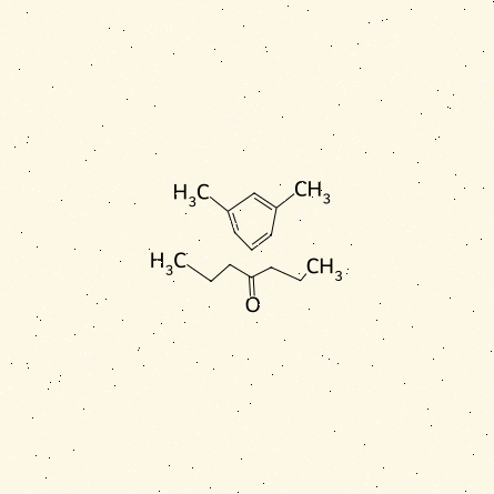 CCCC(=O)CCC.Cc1cccc(C)c1